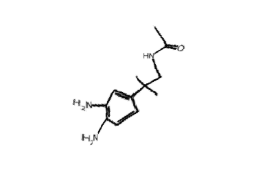 CC(=O)NCC(C)(C)c1ccc(N)c(N)c1